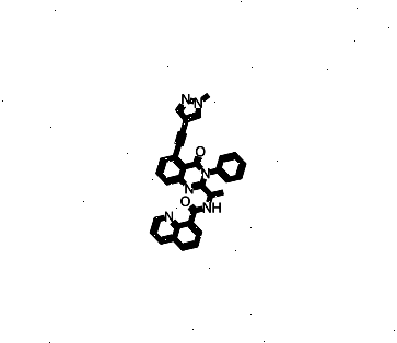 CC(NC(=O)c1cccc2cccnc12)c1nc2cccc(C#Cc3cnn(C)c3)c2c(=O)n1-c1ccccc1